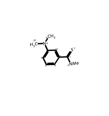 CNC(=S)c1cccc(N(C)C)c1